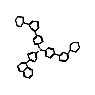 c1cc(-c2ccc(N(c3ccc(-c4cccc(C5CCCCC5)c4)cc3)c3ccc(-c4cccc5ccccc45)cc3)cc2)cc(C2CCCCC2)c1